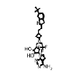 CC(C)(C)c1ccc2c(c1)N=C(CCC1CC(N(C[C@H]3C[C@@H](n4ccc5c(N)ncnc54)[C@H](O)[C@@H]3O)CC(F)(F)F)C1)C2